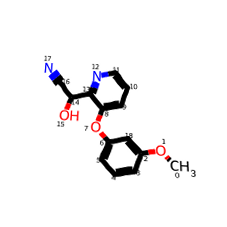 COc1cccc(Oc2cccnc2C(O)C#N)c1